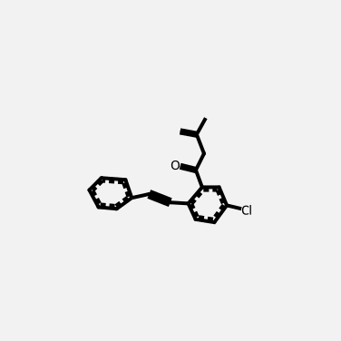 C=C(C)CC(=O)c1cc(Cl)ccc1C#Cc1ccccc1